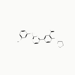 COc1cccc(Nc2nccc(-c3ccc(O[C@H]4CCCO4)c(C(=O)O)c3)n2)c1